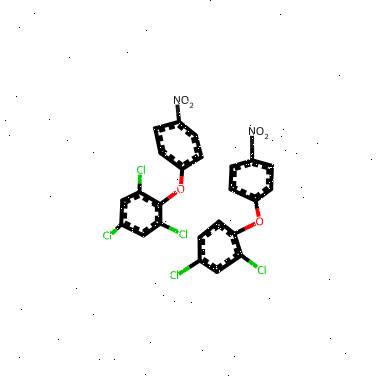 O=[N+]([O-])c1ccc(Oc2c(Cl)cc(Cl)cc2Cl)cc1.O=[N+]([O-])c1ccc(Oc2ccc(Cl)cc2Cl)cc1